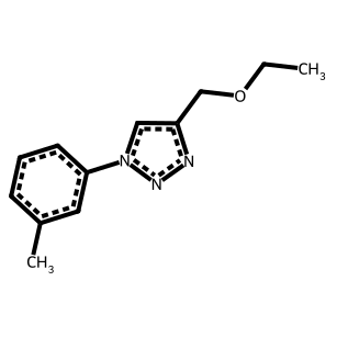 CCOCc1cn(-c2cccc(C)c2)nn1